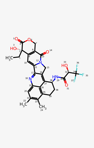 CC[C@@]1(O)C(=O)OCc2c1cc1n(c2=O)Cc2c-1nc1cc(C)c(C)c3c1c2[C@@H](NC(=O)[C@@H](O)C(F)(F)F)CC3